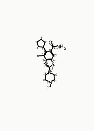 Cc1c(C2CCCC2)c(C(N)=O)cc2sc(N3CCN(C)CC3)nc12